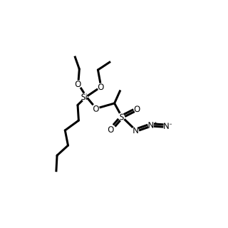 CCCCCC[Si](OCC)(OCC)OC(C)S(=O)(=O)N=[N+]=[N-]